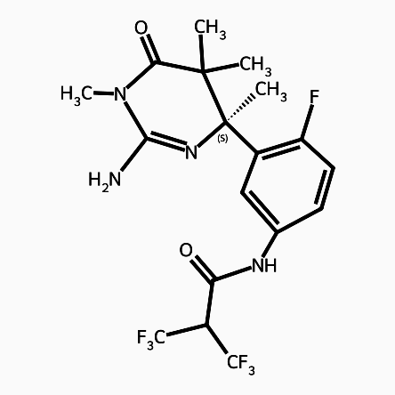 CN1C(=O)C(C)(C)[C@@](C)(c2cc(NC(=O)C(C(F)(F)F)C(F)(F)F)ccc2F)N=C1N